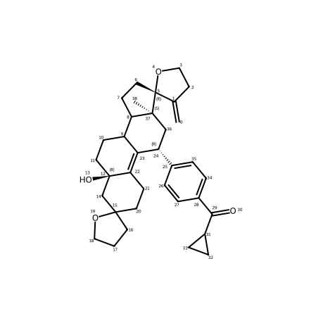 C=C1CCO[C@]12CCC1C3CC[C@@]4(O)CC5(CCCO5)CCC4=C3[C@@H](c3ccc(C(=O)C4CC4)cc3)C[C@@]12C